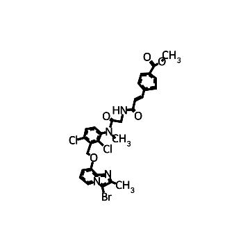 COC(=O)c1ccc(/C=C/C(=O)NCC(=O)N(C)c2ccc(Cl)c(COc3cccn4c(Br)c(C)nc34)c2Cl)cc1